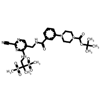 CC(C)(C)OC(=O)N1CCN(c2cccc(C(=O)NCc3cnc(C#N)nc3NCC(C)(S(C)(=O)=O)S(C)(=O)=O)c2)CC1